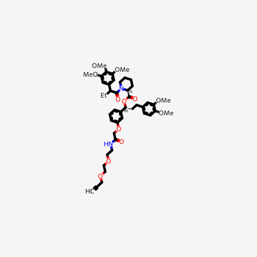 C#CCOCCOCCNC(=O)COc1cccc([C@@H](CCc2ccc(OC)c(OC)c2)OC(=O)[C@@H]2CCCCN2C(=O)C(CC)c2cc(OC)c(OC)c(OC)c2)c1